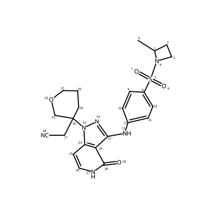 CC1CCN1S(=O)(=O)c1ccc(Nc2nn(C3(CC#N)CCCOC3)c3cc[nH]c(=O)c23)cc1